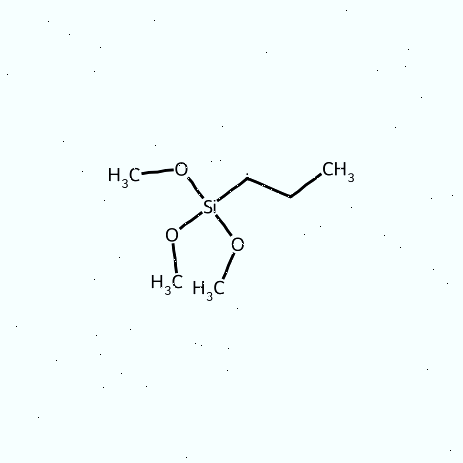 CC[CH][Si](OC)(OC)OC